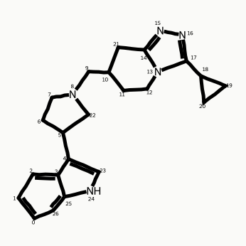 c1ccc2c(C3CCN(CC4CCn5c(nnc5C5CC5)C4)C3)c[nH]c2c1